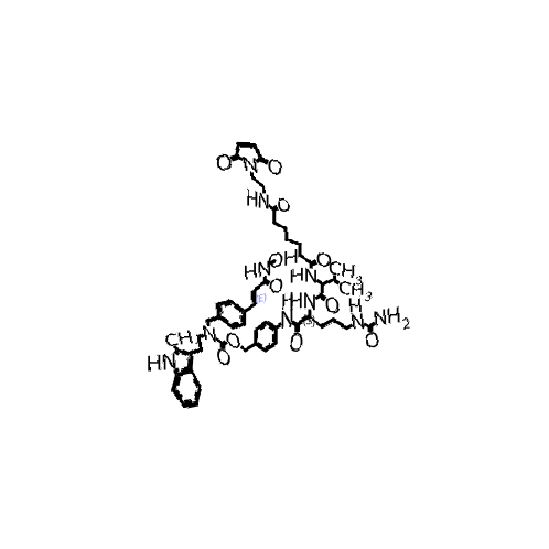 Cc1[nH]c2ccccc2c1CCN(Cc1ccc(/C=C/C(=O)NO)cc1)C(=O)OCc1ccc(NC(=O)[C@H](CCCNC(N)=O)NC(=O)C(NC(=O)CCCCCC(=O)NCCN2C(=O)C=CC2=O)C(C)C)cc1